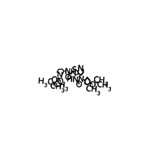 Cc1cc(N2C(=O)NC3c4c2ccnc4SC3C(=O)N[C@@H]2CCCN(C(=O)OC(C)(C)C)C2)ccc1OC(C)C